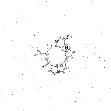 O=C1NN(C2CC2)CCc2ncc(F)cc2[C@H]2CCCN2c2ccn3ncc1c3n2